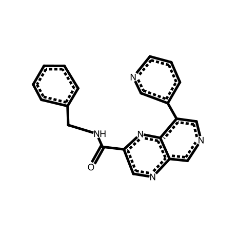 O=C(NCc1ccccc1)c1cnc2cncc(-c3cccnc3)c2n1